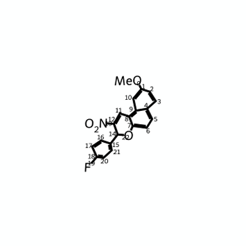 COc1ccc2ccc3c(c2c1)C=C([N+](=O)[O-])C(c1ccc(F)cc1)O3